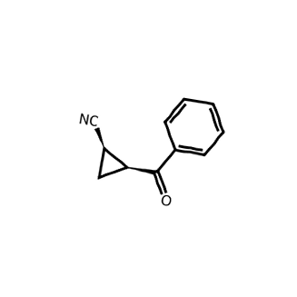 N#C[C@@H]1C[C@@H]1C(=O)c1ccccc1